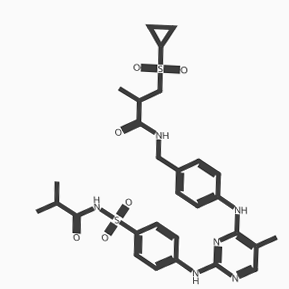 Cc1cnc(Nc2ccc(S(=O)(=O)NC(=O)C(C)C)cc2)nc1Nc1ccc(CNC(=O)C(C)CS(=O)(=O)C2CC2)cc1